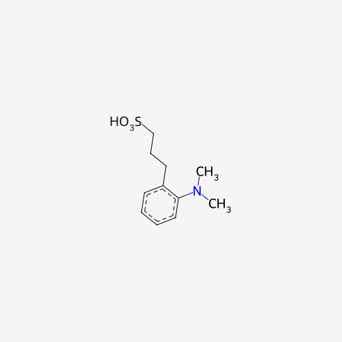 CN(C)c1ccccc1CCCS(=O)(=O)O